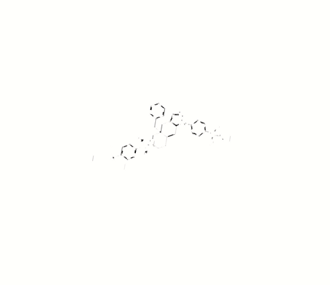 CC(C)(C)c1ccc(S(=O)(=O)N2CCC3=Cc4c(cnn4-c4ccc(S(N)(=O)=O)cc4)CC3(Cc3ccccc3)C2)cc1